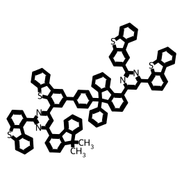 CC1(C)c2ccccc2-c2c(-c3cc(-c4cc(-c5ccc(C6(c7ccccc7)c7ccccc7-c7c(-c8cc(-c9cccc%10c9sc9ccccc9%10)nc(-c9ccc%10sc%11ccccc%11c%10c9)n8)cccc76)cc5)cc5c4sc4ccccc45)nc(-c4cccc5sc6ccccc6c45)n3)cccc21